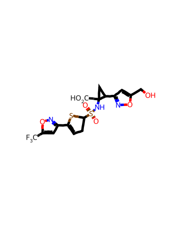 O=C(O)C1(NS(=O)(=O)C2CC=C(c3cc(C(F)(F)F)on3)S2)CC1c1cc(CO)on1